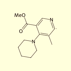 COC(=O)c1cn[c]c(C)c1N1CCCCC1